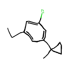 CCc1cc(Cl)cc(C2(C)CC2)c1